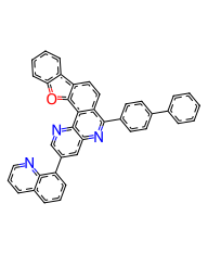 c1ccc(-c2ccc(-c3nc4cc(-c5cccc6cccnc56)cnc4c4c3ccc3c5ccccc5oc34)cc2)cc1